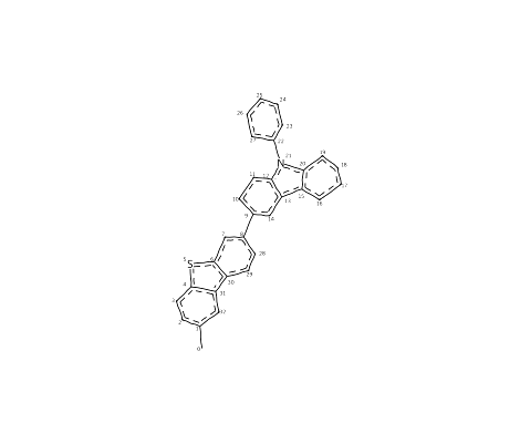 Cc1ccc2sc3cc(-c4ccc5c(c4)c4ccccc4n5-c4ccccc4)ccc3c2c1